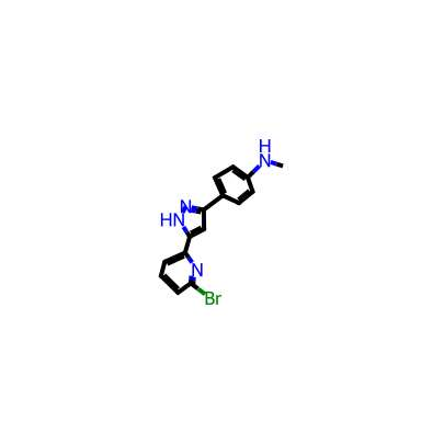 CNc1ccc(-c2cc(-c3cccc(Br)n3)[nH]n2)cc1